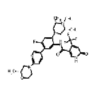 C[C@@H]1CN(c2ccc(-c3cc(NC(=O)c4c[nH]c(=O)cc4C(F)(F)F)c(N4C[C@@H](C)N(C)[C@@H](C)C4)cc3F)cn2)CCO1